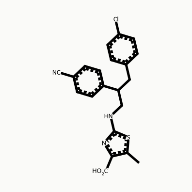 Cc1sc(NCC(Cc2ccc(Cl)cc2)c2ccc(C#N)cc2)nc1C(=O)O